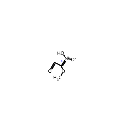 CO/C(C=O)=[N+](\[O-])O